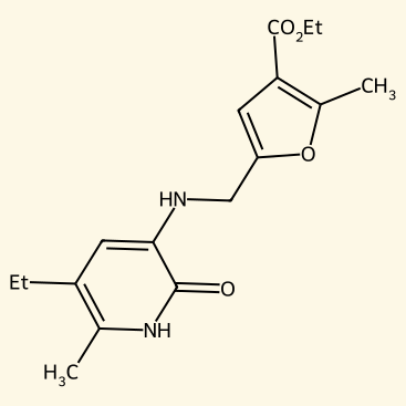 CCOC(=O)c1cc(CNc2cc(CC)c(C)[nH]c2=O)oc1C